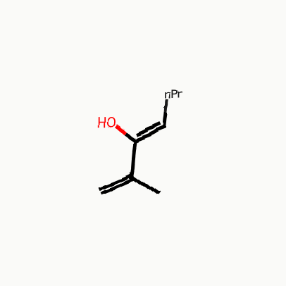 C=C(C)C(O)=CCCC